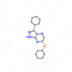 c1ccc(Oc2cnc3c(-c4ccccc4)n[nH]c3n2)cc1